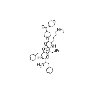 CC(C)C[C@@H](NC(=O)[C@@H](Cc1ccccc1)NC(=O)[C@H](N)Cc1ccccc1)C(=O)N[C@H](CCCCN)C(=O)N1CCC(C(=O)N2CCOCC2)CC1